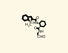 Cn1c(C(=O)N[C@H]2CCCC[C@H]2C(=O)NCC=O)cc2ccccc21